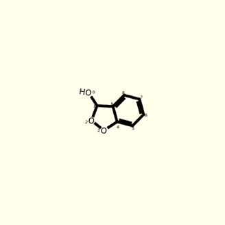 OC1OOc2ccccc21